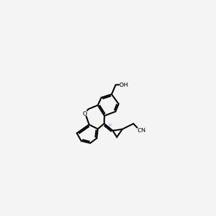 N#CCC1C/C1=C1/c2ccc(CO)cc2COc2ccccc21